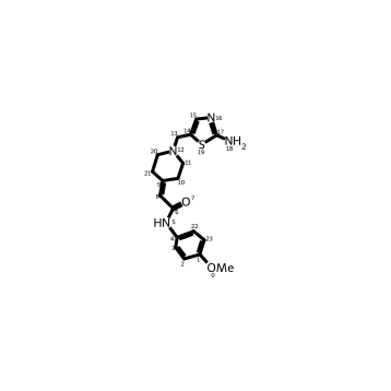 COc1ccc(NC(=O)C=C2CCN(Cc3cnc(N)s3)CC2)cc1